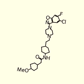 COC1CCC(CC(=O)NC2CCC(CCN3CCN(c4noc5cc(F)c(Cl)cc45)CC3)CC2)CC1